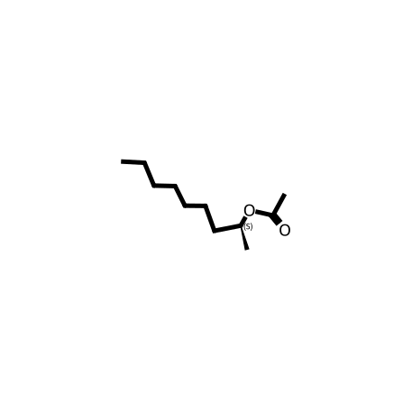 CCCCCCC[C@H](C)OC(C)=O